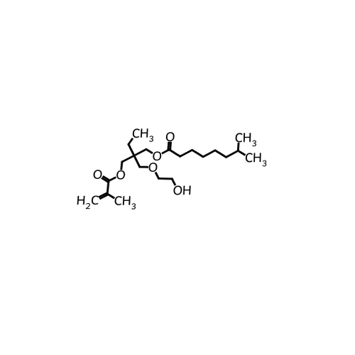 C=C(C)C(=O)OCC(CC)(COCCO)COC(=O)CCCCCC(C)C